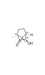 CC1(C)[C@H]2CC[C@]1(C)C(=O)[C@@H]2O